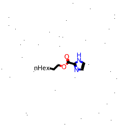 CCCCCCCCOC(=O)c1ncc[nH]1